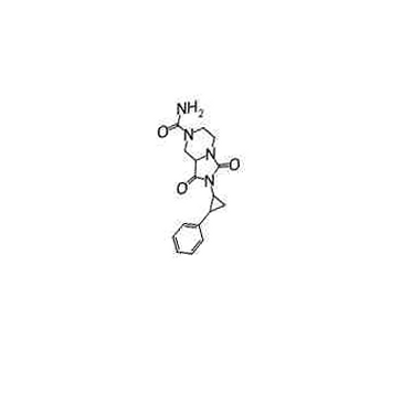 NC(=O)N1CCN2C(=O)N(C3CC3c3ccccc3)C(=O)C2C1